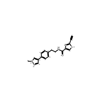 C#Cc1nc(C(=O)NCCc2ccc(-c3cnn(C)c3)cc2)cs1